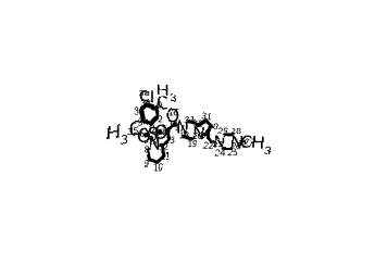 Cc1cc(S(=O)(=O)N2CCCCC2CCC(=O)N2CCn3c(CN4CCN(C)CC4)ccc3C2)c(C)cc1Cl